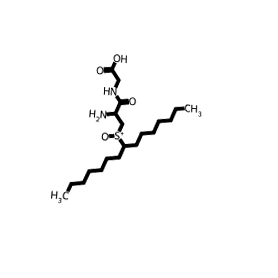 CCCCCCCC(CCCCCCC)[S+]([O-])CC(N)C(=O)NCC(=O)O